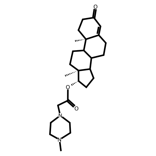 CN1CCN(CC(=O)O[C@H]2CCC3C4CCC5=CC(=O)CC[C@]5(C)C4CC[C@@]32C)CC1